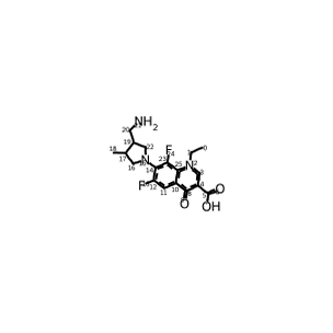 CCn1cc(C(=O)O)c(=O)c2cc(F)c(N3CC(C)C(CN)C3)c(F)c21